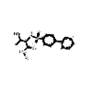 CC(O)C(NS(=O)(=O)c1ccc(-c2ccccc2)cc1)C(=O)NO